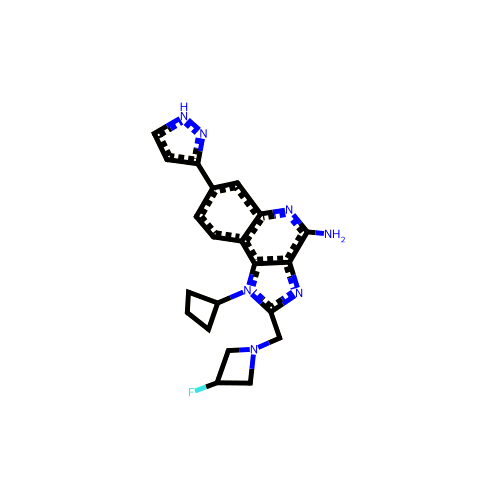 Nc1nc2cc(-c3cc[nH]n3)ccc2c2c1nc(CN1CC(F)C1)n2C1CCC1